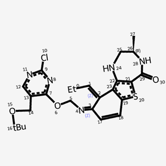 CC/C=C1\C(=N/COc2nc(Cl)ncc2COC(C)(C)C)C=Cc2sc3c(c21)NC[C@@H](C)NC3=O